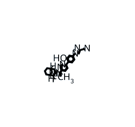 CN(c1ccc(-c2ccc(-n3cnc(C#N)c3)cc2O)nn1)[C@@H]1C[C@H]2CCC[C@H](N2)[C@@H]1F